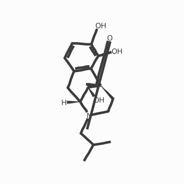 CC(C)CN1CC[C@]23CC(=O)CC[C@@]2(O)[C@H]1Cc1ccc(O)c(O)c13